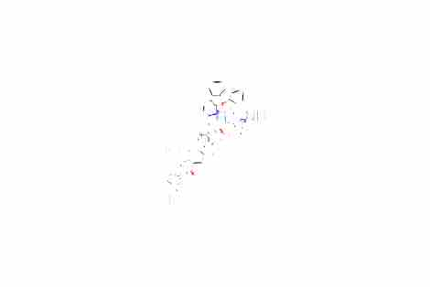 Nc1nc(C(=NOC(c2ccccc2)(c2ccccc2)c2ccccc2)C(=O)N[C@@H]2C(=O)N3C(C(=O)O)=C(C=C4CCN([C@@H]5CCNC5)C4=O)CS[C@H]23)ns1